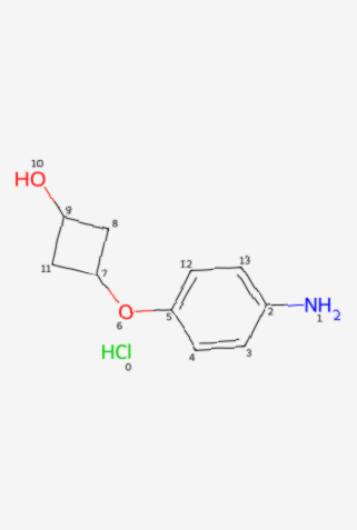 Cl.Nc1ccc(OC2CC(O)C2)cc1